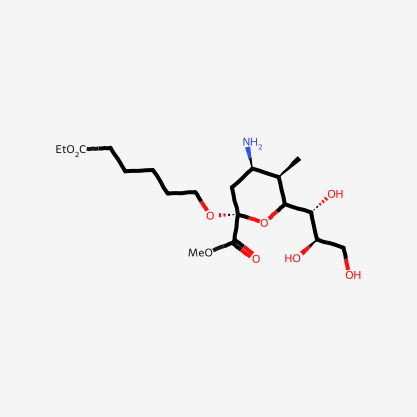 CCOC(=O)CCCCCO[C@]1(C(=O)OC)C[C@@H](N)[C@@H](C)C([C@H](O)[C@H](O)CO)O1